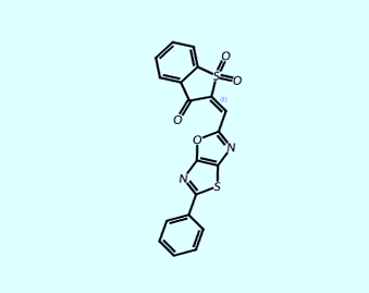 O=C1/C(=C\c2nc3sc(-c4ccccc4)nc3o2)S(=O)(=O)c2ccccc21